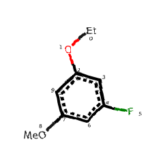 CCOc1cc(F)cc(OC)c1